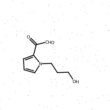 O=CC(=O)c1cccn1CCCO